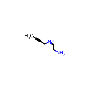 CC#CC/N=C\CN